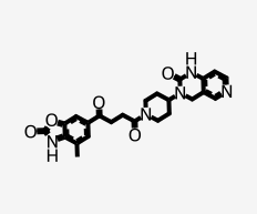 Cc1cc(C(=O)CCC(=O)N2CCC(N3Cc4cnccc4NC3=O)CC2)cc2oc(=O)[nH]c12